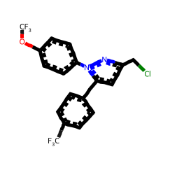 FC(F)(F)Oc1ccc(-n2nc(CCl)cc2-c2ccc(C(F)(F)F)cc2)cc1